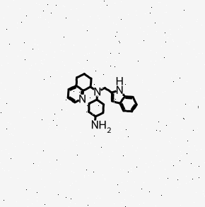 NC1CCC(N(Cc2cc3ccccc3[nH]2)C2CCCc3cccnc32)CC1